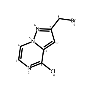 Clc1nccn2nc(CBr)cc12